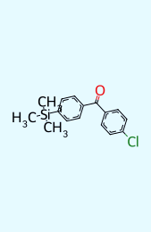 C[Si](C)(C)c1ccc(C(=O)c2ccc(Cl)cc2)cc1